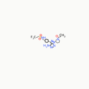 C=CC(=O)N1CCCC(n2nc(-c3ccc(CNS(=O)(=O)CCC(F)(F)F)cc3)c3c(N)ncnc32)C1